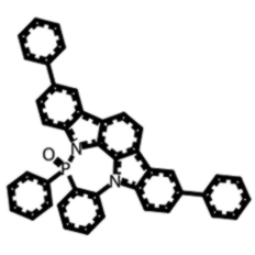 O=P1(c2ccccc2)c2ccccc2-n2c3ccc(-c4ccccc4)cc3c3ccc4c5cc(-c6ccccc6)ccc5n1c4c32